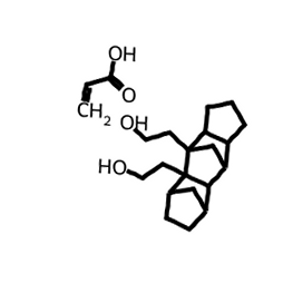 C=CC(=O)O.OCCC12CC(C3CCCC31)C1C3CCC(C3)C12CCO